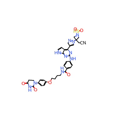 N#CCC1(n2cc(-c3nc(Nc4ccc(C(=O)NCCCCOc5ccc(N6CCC(=O)NC6=O)cc5)cc4)nc4[nH]ccc34)cn2)CN([SH](=O)=O)C1